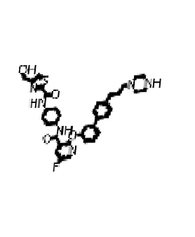 O=C(N[C@H]1CC[C@H](NC(=O)c2cc(F)cnc2Oc2cccc(-c3ccc(CCCN4CCNCC4)cc3)c2)CC1)c1nc(CO)cs1